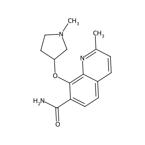 Cc1ccc2ccc(C(N)=O)c(OC3CCN(C)C3)c2n1